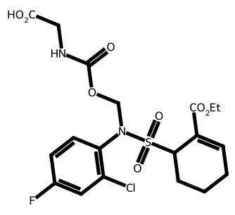 CCOC(=O)C1=CCCCC1S(=O)(=O)N(COC(=O)NCC(=O)O)c1ccc(F)cc1Cl